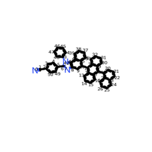 N#Cc1ccc(-c2nc3cc(-c4c5ccccc5c(-c5cccc6ccccc56)c5ccccc45)c4ccccc4c3n2-c2ccccc2)cc1